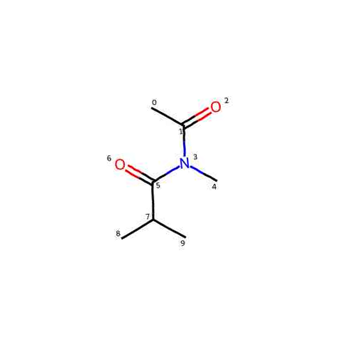 CC(=O)N(C)C(=O)C(C)C